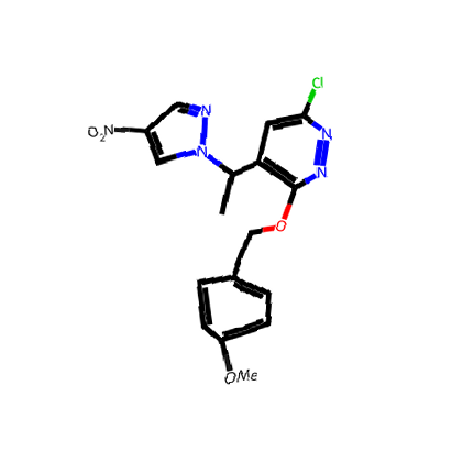 COc1ccc(COc2nnc(Cl)cc2C(C)n2cc([N+](=O)[O-])cn2)cc1